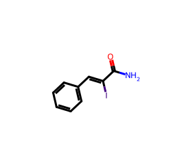 NC(=O)C(I)=Cc1ccccc1